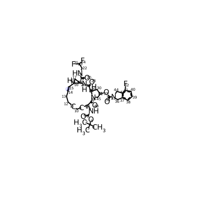 CC(C)(C)OC(=O)N[C@H]1CCCCC/C=C\[C@@H]2C[C@@]2(C(=O)NCC(F)F)NC(=O)[C@@H]2C[C@@H](OC(=O)N3Cc4cccc(F)c4C3)CN2C1=O